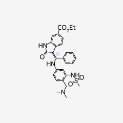 CCOC(=O)c1ccc2c(c1)NC(=O)/C2=C(\Nc1ccc(CN(C)C)c(NS(C)(=O)=O)c1)c1ccccc1